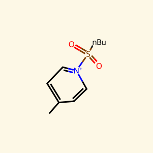 CCCCS(=O)(=O)[n+]1ccc(C)cc1